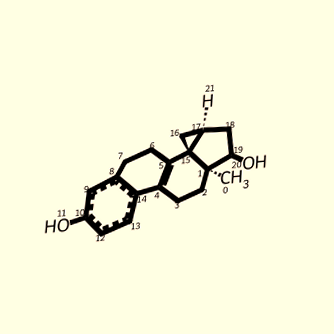 C[C@]12CCC3=C(CCc4cc(O)ccc43)[C@@]13C[C@H]3CC2O